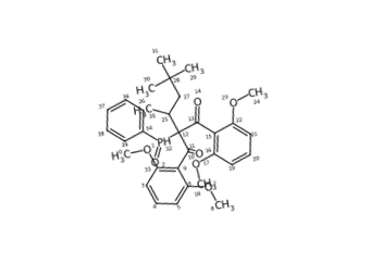 COc1cccc(OC)c1C(=O)C(C(=O)c1c(OC)cccc1OC)(C(C)CC(C)(C)C)[PH](=O)c1ccccc1